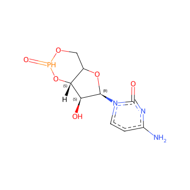 Nc1ccn([C@@H]2OC3CO[PH](=O)O[C@H]3[C@@H]2O)c(=O)n1